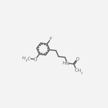 COc1ccc(F)c(CCCNC(C)=O)c1